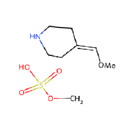 COC=C1CCNCC1.COS(=O)(=O)O